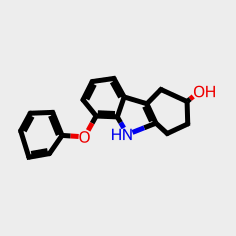 OC1CCc2[nH]c3c(Oc4ccccc4)cccc3c2C1